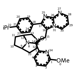 COc1cccc(C(=O)N2C3CCC2CN(Cc2c(-c4ccc(C(C)C)cc4)nc4ncccn24)CC3)n1